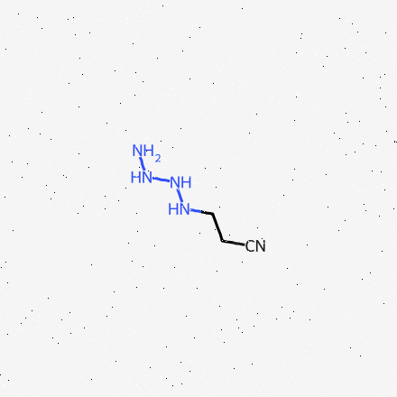 N#CCCNNNN